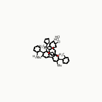 Cl.Cl.[CH2]=[Zr]([C]1=CC=CC1)([c]1ccc(Cl)cc1)([c]1ccc(Cl)cc1)[c]1c2c(cc(C(C)(C)C)c1-c1ccccc1C)-c1cc(C(C)(C)C)c(-c3ccccc3C)cc1C2